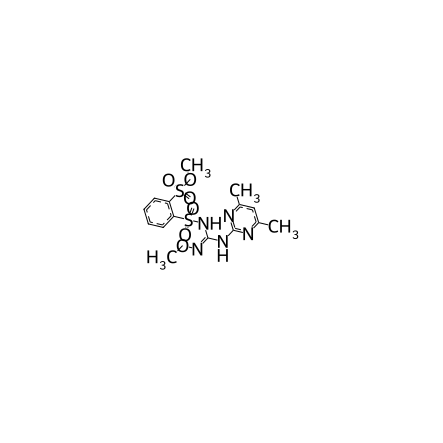 CON=C(Nc1nc(C)cc(C)n1)NS(=O)(=O)c1ccccc1S(=O)(=O)OC